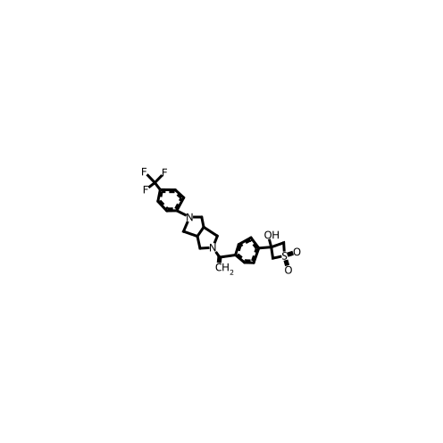 C=C(c1ccc(C2(O)CS(=O)(=O)C2)cc1)N1CC2CN(c3ccc(C(F)(F)F)cc3)CC2C1